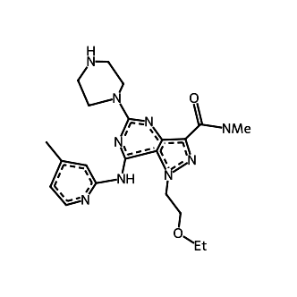 CCOCCn1nc(C(=O)NC)c2nc(N3CCNCC3)nc(Nc3cc(C)ccn3)c21